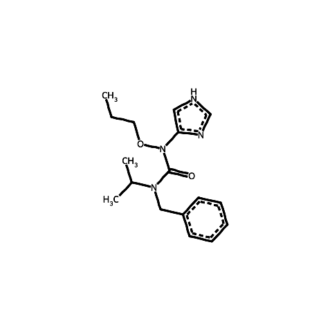 CCCON(C(=O)N(Cc1ccccc1)C(C)C)c1c[nH]cn1